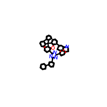 c1ccc(-c2cccc(-c3nc(-c4ccccc4)nc(-c4cccc5c4Oc4c(-c6ccc7cccnc7c6)cccc4C54c5ccccc5-c5ccccc54)n3)c2)cc1